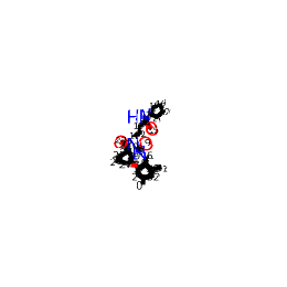 Cc1cc(C)c(Cn2c(=O)n(CCCC(=O)NC3CCCC3)c(=O)c3ccccc32)c(C)c1